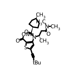 COC(=O)c1sc(C#CC(C)(C)C)cc1N(C(=O)[C@H]1CC[C@H](C)CC1)[C@@H](C)CC(=O)N(C)C